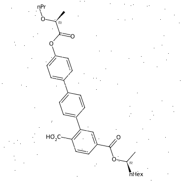 CCCCCC[C@H](C)OC(=O)c1ccc(C(=O)O)c(-c2ccc(-c3ccc(OC(=O)[C@H](C)OCCC)cc3)cc2)c1